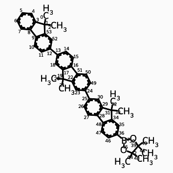 CC1(C)c2ccccc2-c2ccc(-c3ccc4c(c3)C(C)(C)c3cc(-c5ccc6c(c5)C(C)(C)c5cc(B7OC(C)(C)C(C)(C)O7)ccc5-6)ccc3-4)cc21